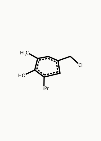 Cc1cc(CCl)cc(C(C)C)c1O